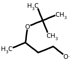 CC(CC[O])OC(C)(C)C